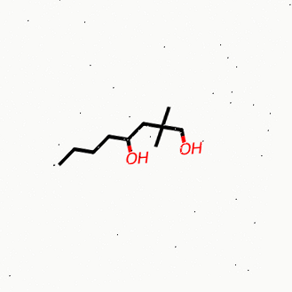 [CH2]CCCC(O)CC(C)(C)CO